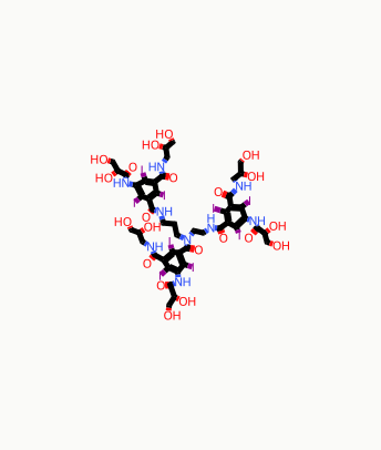 O=C(NCCCN(CCNC(=O)c1c(I)c(NC(=O)C(O)CO)c(I)c(C(=O)NCC(O)CO)c1I)C(=O)c1c(I)c(NC(=O)C(O)CO)c(I)c(C(=O)NCC(O)CO)c1I)c1c(I)c(NC(=O)C(O)CO)c(I)c(C(=O)NCC(O)CO)c1I